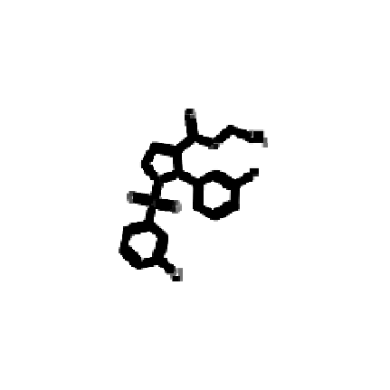 CCOC(=O)C1=CCN(S(=O)(=O)c2cccc(Cl)c2)C1c1cccc(F)c1